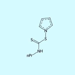 CCCNC(=S)Sn1cccc1